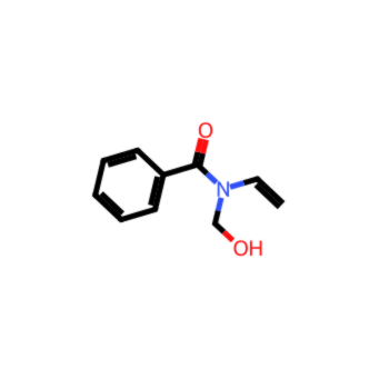 C=CN(CO)C(=O)c1ccccc1